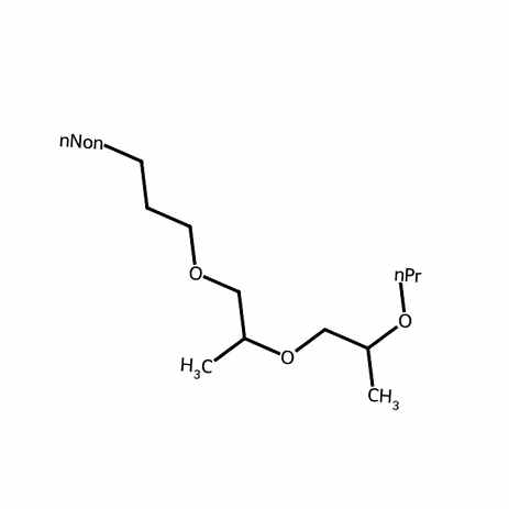 C[CH]COC(C)COC(C)COCCCCCCCCCCCC